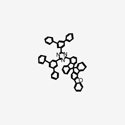 c1ccc(-c2cc(-c3ccccc3)cc(-c3nc(-c4cc(-c5ccccc5)cc(-c5ccccc5)c4)nc(-c4cccc5c4-c4ccccc4C54c5ccccc5-c5c4ccc4c5oc5ccccc54)n3)c2)cc1